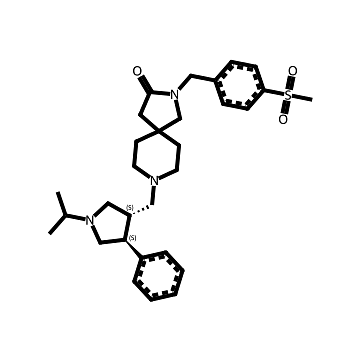 CC(C)N1C[C@H](CN2CCC3(CC2)CC(=O)N(Cc2ccc(S(C)(=O)=O)cc2)C3)[C@@H](c2ccccc2)C1